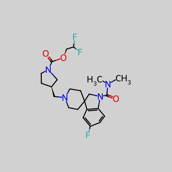 CN(C)C(=O)N1CC2(CCN(C[C@H]3CCN(C(=O)OCC(F)F)C3)CC2)c2cc(F)ccc21